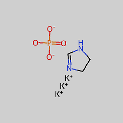 C1=NCCN1.O=P([O-])([O-])[O-].[K+].[K+].[K+]